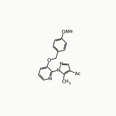 COc1ccc(COc2cccnc2-n2ncc(C(C)=O)c2C)cc1